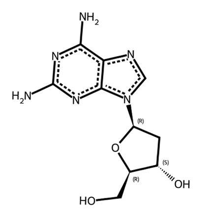 Nc1nc(N)c2ncn([C@H]3C[C@H](O)[C@@H](CO)O3)c2n1